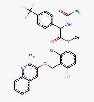 Cc1nc2ccccc2cc1OCc1c(Cl)ccc(N(C)C(=O)C(NC(N)=O)c2ccc(C(F)(F)F)cc2)c1Cl